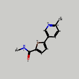 CC(C)NC(=O)c1ccc(-c2ccc(C#N)nc2)s1